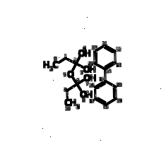 CCC(O)(O)OC(O)(O)CC.c1ccc(-c2ccccc2)cc1